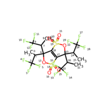 CC(C(F)(F)F)C1(C(C)C(F)(F)F)OS(=O)(=O)C2=C1S(=O)(=O)OC2(C(C)C(F)(F)F)C(C)C(F)(F)F